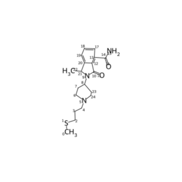 CSCCCN1CCC(N2C(=O)c3c(C(N)=O)cccc3C2C)CC1